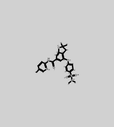 Cc1ccc(NC(=O)c2cc(Oc3ccc(S(=O)(=O)N(C)C)cc3)c3c(c2)OC(C)(C)C3)nc1